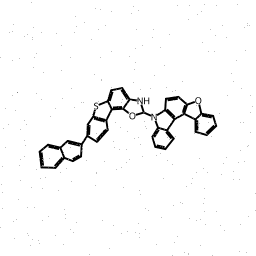 c1ccc2cc(-c3ccc4c(c3)sc3ccc5c(c34)OC(n3c4ccccc4c4c6c(ccc43)oc3ccccc36)N5)ccc2c1